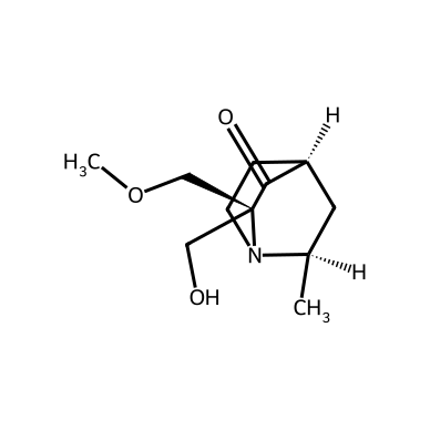 COC[C@@]1(CO)C(=O)[C@H]2CCN1[C@H](C)C2